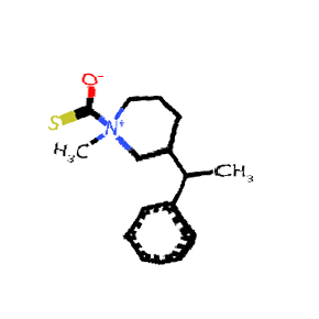 CC(c1ccccc1)C1CCC[N+](C)(C([O-])=S)C1